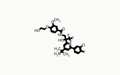 COc1cc(C(=O)NCC(O)(c2cc(C(C)(C)N)cc(-c3ccc(F)c(Cl)c3)n2)C(F)(F)F)ccc1OCCO